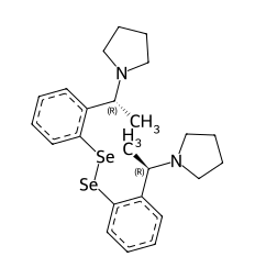 C[C@H](c1ccccc1[Se][Se]c1ccccc1[C@@H](C)N1CCCC1)N1CCCC1